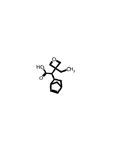 CCC1(C(C(=O)O)C2CC3C=CC2C3)COC1